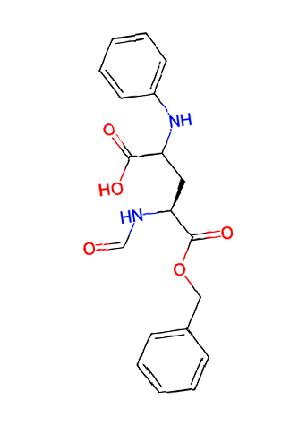 O=CN[C@@H](CC(Nc1ccccc1)C(=O)O)C(=O)OCc1ccccc1